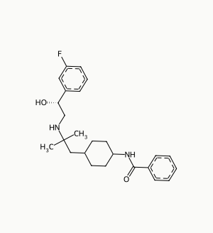 CC(C)(CC1CCC(NC(=O)c2ccccc2)CC1)NC[C@H](O)c1cccc(F)c1